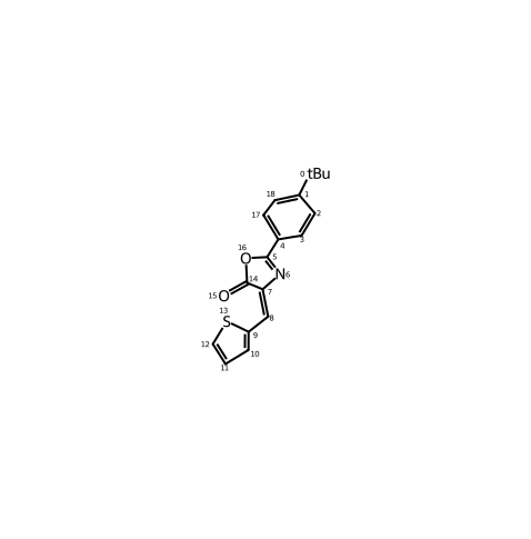 CC(C)(C)c1ccc(C2=N/C(=C/c3cccs3)C(=O)O2)cc1